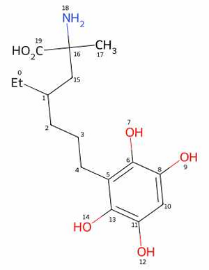 CCC(CCCc1c(O)c(O)cc(O)c1O)CC(C)(N)C(=O)O